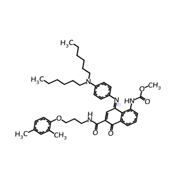 CCCCCCN(CCCCCC)c1ccc(/N=C2\C=C(C(=O)NCCCOc3ccc(C)cc3C)C(=O)c3cccc(NC(=O)OC)c32)cc1